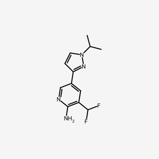 CC(C)n1ccc(-c2cnc(N)c(C(F)F)c2)n1